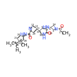 C=CC(=O)N1CC(Nc2cc(-c3ccnc(C(=O)Nc4ccc(C(C)C)c(C)c4)c3)c[nH]c2=O)C1